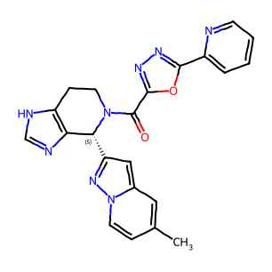 Cc1ccn2nc([C@@H]3c4nc[nH]c4CCN3C(=O)c3nnc(-c4ccccn4)o3)cc2c1